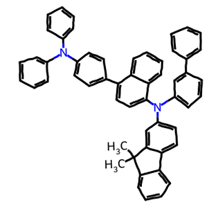 CC1(C)c2ccccc2-c2ccc(N(c3cccc(-c4ccccc4)c3)c3ccc(-c4ccc(N(c5ccccc5)c5ccccc5)cc4)c4ccccc34)cc21